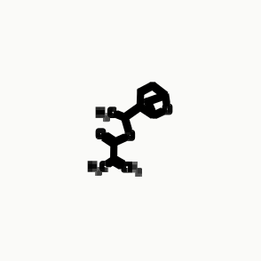 C=C(C)C(=O)OC(C)C1CCC2CC1O2